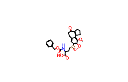 COc1c([S+]([O-])CCC(NC(=O)OCc2ccccc2)C(=O)O)cc2c(c1OC)C1=C(CCC1)C(=O)CC2